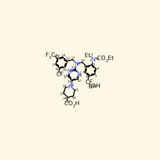 CCOC(=O)N(CC)c1ccc(C(F)(F)F)cc1CN(Cc1cc(C(F)(F)F)cc(C(F)(F)F)c1)c1ncc(N2CCC(C(=O)O)CC2)cn1.[NaH]